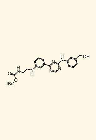 CC(C)(C)OC(=O)NCCNc1cccc(-c2ncnc(Nc3cccc(CO)c3)n2)c1